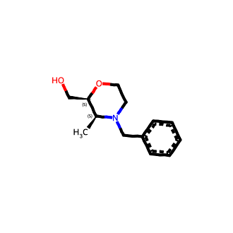 C[C@H]1[C@@H](CO)OCCN1Cc1ccccc1